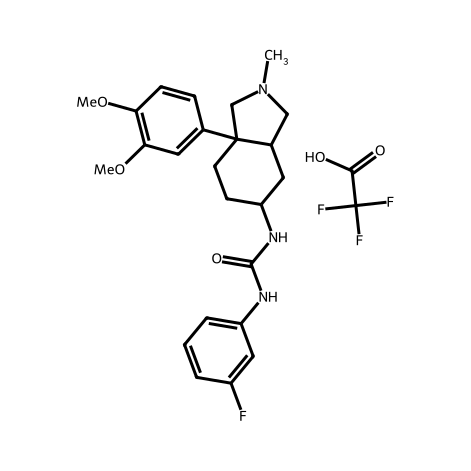 COc1ccc(C23CCC(NC(=O)Nc4cccc(F)c4)CC2CN(C)C3)cc1OC.O=C(O)C(F)(F)F